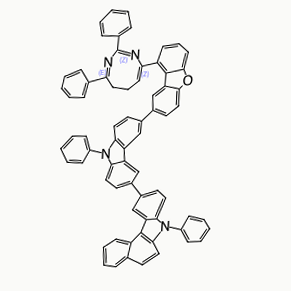 C1=C(c2cccc3oc4ccc(-c5ccc6c(c5)c5cc(-c7ccc8c(c7)c7c9ccccc9ccc7n8-c7ccccc7)ccc5n6-c5ccccc5)cc4c23)/N=C(c2ccccc2)\N=C(\c2ccccc2)CC\1